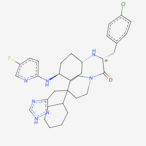 O=C([C@@H](Cc1ccc(Cl)cc1)N[C@H]1CC[C@H](Nc2ccc(F)cn2)CC1)N1CCC(Cc2nc[nH]n2)(C2CCCCC2)CC1